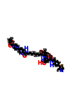 Cc1ncsc1-c1ccc([C@H](C)NC(=O)[C@@H]2C[C@@H](O)CN2C(=O)[C@@H](NC(=O)CCCCCCCNC(=O)c2ccc(N3CCN(C(=O)OC(C)(C)C)CC3)cn2)C(C)(C)C)cc1